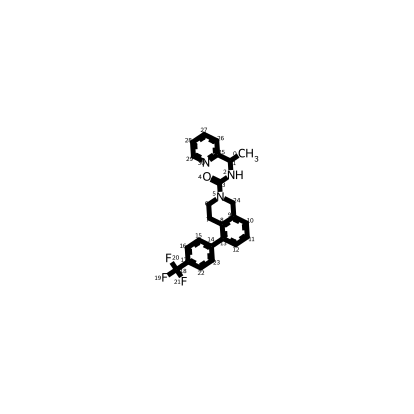 CC(NC(=O)N1CCc2c(cccc2-c2ccc(C(F)(F)F)cc2)C1)c1ccccn1